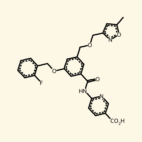 Cc1cc(COCc2cc(OCc3ccccc3F)cc(C(=O)Nc3ccc(C(=O)O)cn3)c2)no1